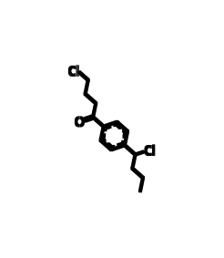 CCCC(Cl)c1ccc(C(=O)CCCCl)cc1